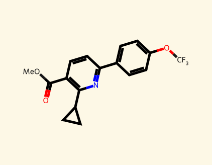 COC(=O)c1ccc(-c2ccc(OC(F)(F)F)cc2)nc1C1CC1